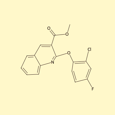 COC(=O)c1cc2ccccc2nc1Oc1ccc(F)cc1Cl